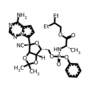 CCC(CC)COC(=O)[C@H](C)N[P@](=O)(OC[C@H]1O[C@@](C#N)(c2ccc3c(N)ncnn23)C2OC(C)(C)O[C@H]21)Oc1ccccc1